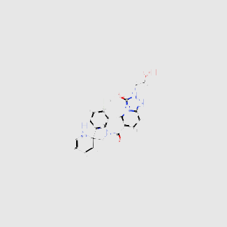 O=C(NCC1(c2ccc(F)cc2)C=CC=CN1)c1ccc2nn(CCO)c(=O)n2c1